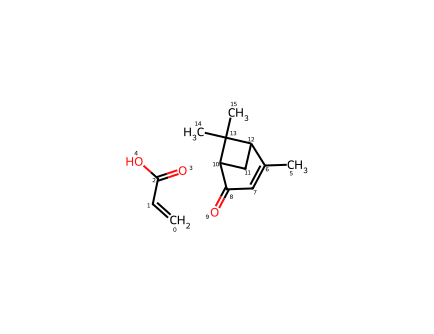 C=CC(=O)O.CC1=CC(=O)C2CC1C2(C)C